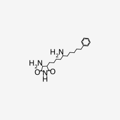 NC(CCCCCc1ccccc1)CCCCC1C(=O)NC(=O)C1N